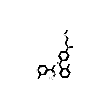 COCCN(C)c1ccc([C@@H](CC(=NO)c2ccnc(C)c2)c2ccccc2C)cc1